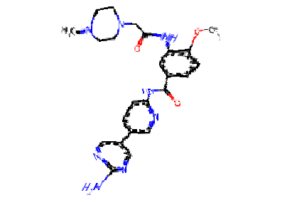 CN1CCN(CC(=O)Nc2cc(C(=O)Nc3ccc(-c4cnc(N)nc4)cn3)ccc2OC(F)(F)F)CC1